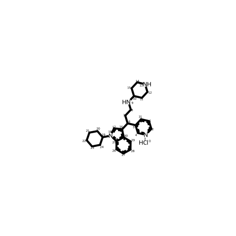 Cl.c1cncc(C(CCNC2CCNCC2)c2cn(C3CCCCC3)c3ccccc23)c1